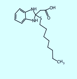 CCCCCCCCSC1(CC(=O)O)Nc2ccccc2N1